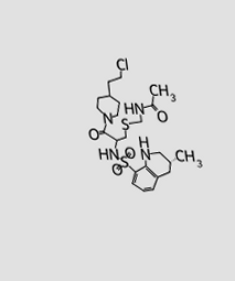 CC(=O)NCSCC(NS(=O)(=O)c1cccc2c1NC[C@H](C)C2)C(=O)N1CCC(CCCl)CC1